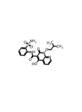 CC(C)COn1c(=O)c(C(=O)Nc2ccccc2S(N)(=O)=O)c(O)c2cccnc21